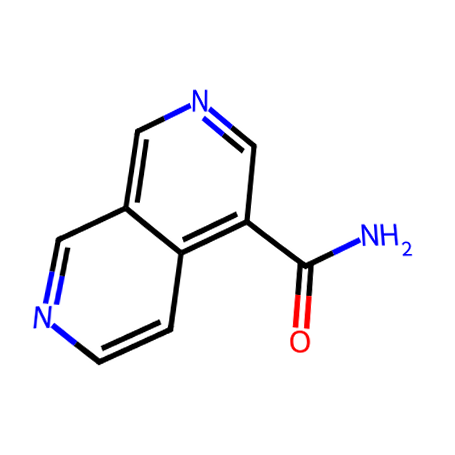 NC(=O)c1cncc2cnccc12